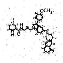 COc1ccc(-c2cn(CCCNC(=O)C3CNCCN3)c3ccc(CN4CCN(Cc5c(Cl)cccc5Cl)CC4)cc23)cc1